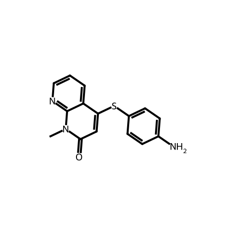 Cn1c(=O)cc(Sc2ccc(N)cc2)c2cccnc21